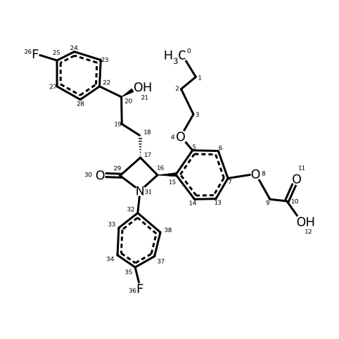 CCCCOc1cc(OCC(=O)O)ccc1[C@@H]1[C@@H](CC[C@H](O)c2ccc(F)cc2)C(=O)N1c1ccc(F)cc1